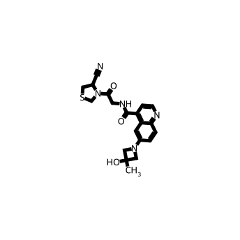 CC1(O)CN(c2ccc3nccc(C(=O)NCC(=O)N4CSCC4C#N)c3c2)C1